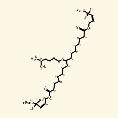 CCCCCC(F)(F)/C=C\COC(=O)CCCCCCCC(CCCCCCCC(=O)OC/C=C\C(F)(F)CCCCC)OCCCCN(C)C